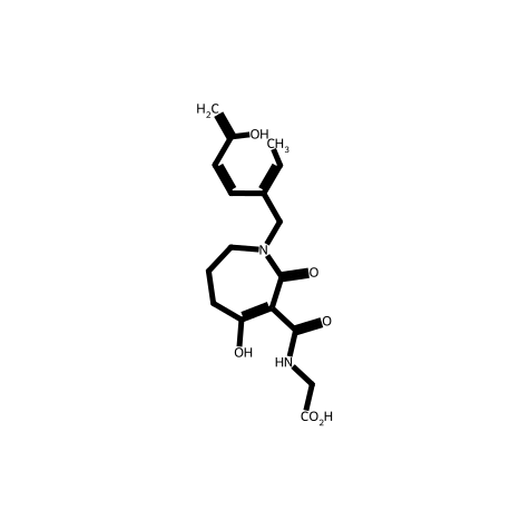 C=C(O)/C=C\C(=C/C)CN1CCCC(O)=C(C(=O)NCC(=O)O)C1=O